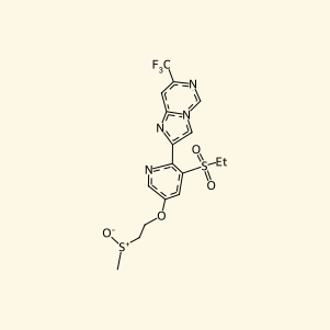 CCS(=O)(=O)c1cc(OCC[S+](C)[O-])cnc1-c1cn2cnc(C(F)(F)F)cc2n1